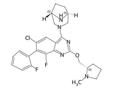 CN1CCC[C@H]1COc1nc(N2C[C@@H]3CC[C@@H](C2)N3)c2cc(Cl)c(-c3ccccc3F)c(F)c2n1